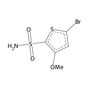 COc1cc(Br)sc1S(N)(=O)=O